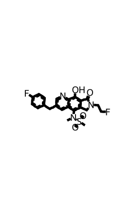 CN(c1c2c(c(O)c3ncc(Cc4ccc(F)cc4)cc13)C(=O)N(CCF)C2)S(C)(=O)=O